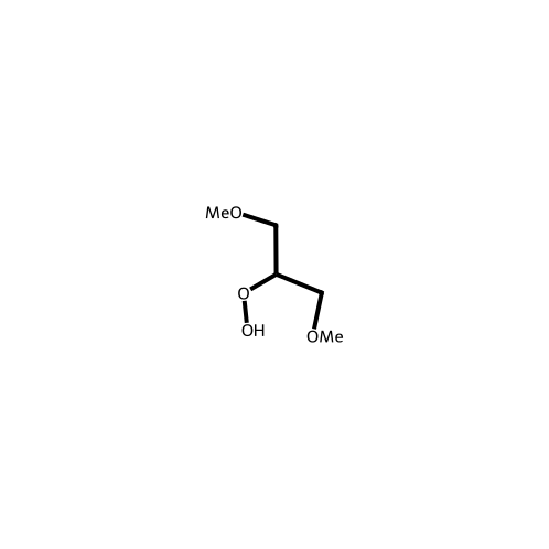 COCC(COC)OO